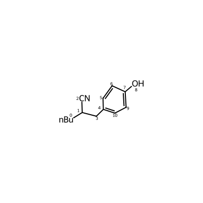 CCCCC(C#N)Cc1ccc(O)cc1